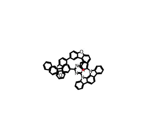 c1ccc(-n2c3ccccc3c3cc(-c4ccc5oc6cccc(-c7nc(-c8ccc9c(c8)oc8ccccc89)nc(-n8c9ccccc9c9ccc%10c%11ccccc%11n(-c%11ccccc%11)c%10c98)n7)c6c5c4)ccc32)cc1